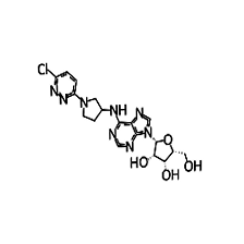 OC[C@H]1O[C@@H](n2cnc3c(NC4CCN(c5ccc(Cl)nn5)C4)ncnc32)[C@@H](O)[C@H]1O